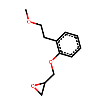 COCCc1ccccc1OCC1CO1